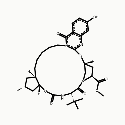 COC(=O)[C@@H]1C[C@@H]2CN1C(=O)[C@H](C(C)(C)C)NC(=O)O[C@@H]1C[C@H](C)C[C@H]1CCCCCn1c(nc3cc(O)ccc3c1=O)O2